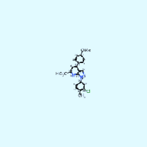 COc1ccc(-c2cc(C(=O)O)nc3c2cnn3-c2ccc(C)c(Cl)c2)cc1